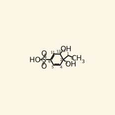 CCC1(O)C=CC(S(=O)(=O)O)=CC1O